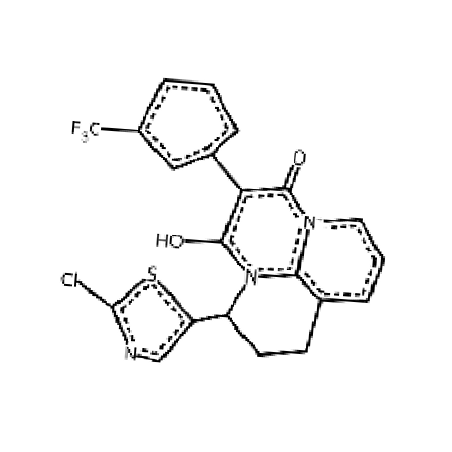 O=c1c(-c2cccc(C(F)(F)F)c2)c(O)n2c3c(ccc[n+]13)CCC2c1cnc(Cl)s1